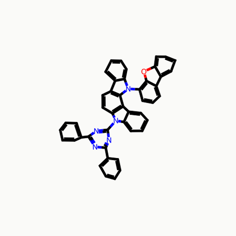 c1ccc(-c2nc(-c3ccccc3)nc(-n3c4ccccc4c4c3ccc3c5ccccc5n(-c5cccc6c5oc5ccccc56)c34)n2)cc1